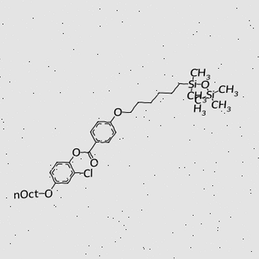 CCCCCCCCOc1ccc(OC(=O)c2ccc(OCCCCCC[Si](C)(C)O[Si](C)(C)C)cc2)c(Cl)c1